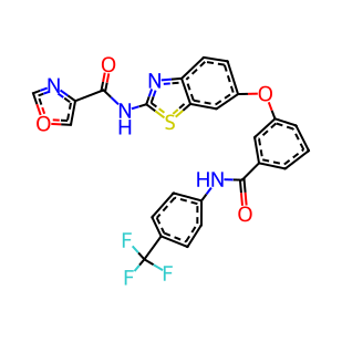 O=C(Nc1ccc(C(F)(F)F)cc1)c1cccc(Oc2ccc3nc(NC(=O)c4cocn4)sc3c2)c1